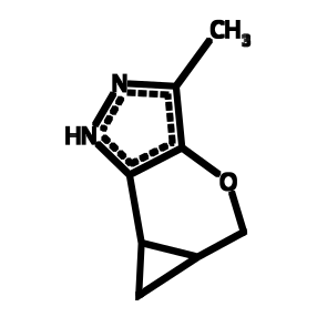 Cc1n[nH]c2c1OCC1CC21